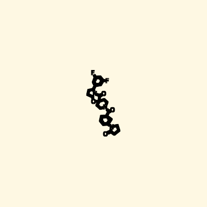 O=C(c1cccc(N2CCCC2=O)c1)N1CCC2(CC1)OC1CCC(c3cc(F)cc(F)c3)N1C2=O